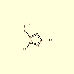 CCc1cc(OC=O)n(C)n1